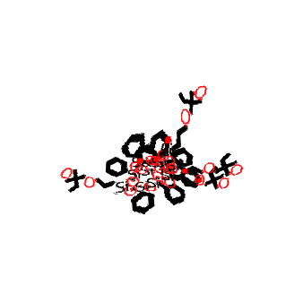 CCC1(COCCC[Si](C)(C)O[Si]2(c3ccccc3)O[Si]3(c4ccccc4)O[Si](O[Si](C)(C)CCCOCC4(CC)COC4)(c4ccccc4)O[Si](c4ccccc4)(O2)O[Si]2(c4ccccc4)O[Si](O[Si](C)(C)CCCOCC4(CC)COC4)(c4ccccc4)O[Si](c4ccccc4)(O[Si](O[Si](C)(C)CCCOCC4(CC)COC4)(c4ccccc4)O2)O3)COC1